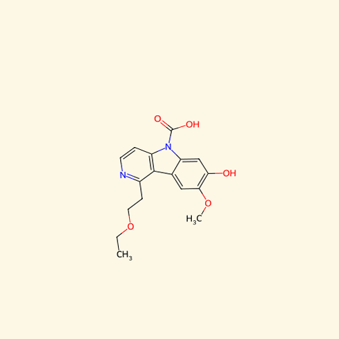 CCOCCc1nccc2c1c1cc(OC)c(O)cc1n2C(=O)O